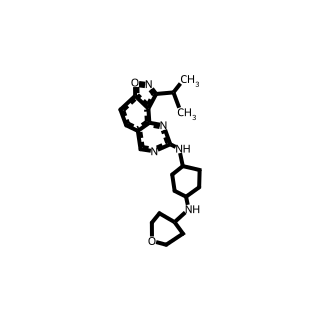 CC(C)c1noc2ccc3cnc(NC4CCC(NC5CCOCC5)CC4)nc3c12